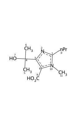 CCCc1nc(C(C)(C)O)c(C(=O)O)n1C